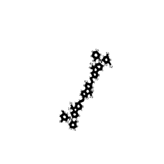 Cc1cc(C)cc(N(c2ccc3c(c2)C(C)(C)c2cc(/C=C/c4ccc5c(c4)C(C)(C)c4cc(/C=C/c6ccc7c(c6)C(C)(C)c6cc(N(c8cc(C)cc(C)c8)c8ccccc8C)ccc6-7)ccc4-5)ccc2-3)c2ccccc2C)c1